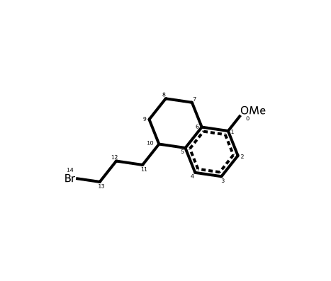 COc1cccc2c1CCCC2CCCBr